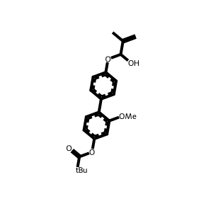 C=C(C)C(O)Oc1ccc(-c2ccc(OC(=O)C(C)(C)C)cc2OC)cc1